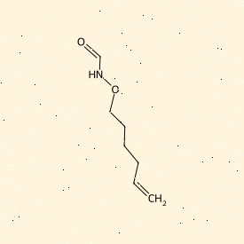 C=CCCCCONC=O